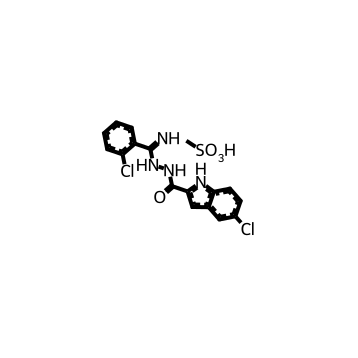 CS(=O)(=O)O.N=C(NNC(=O)c1cc2cc(Cl)ccc2[nH]1)c1ccccc1Cl